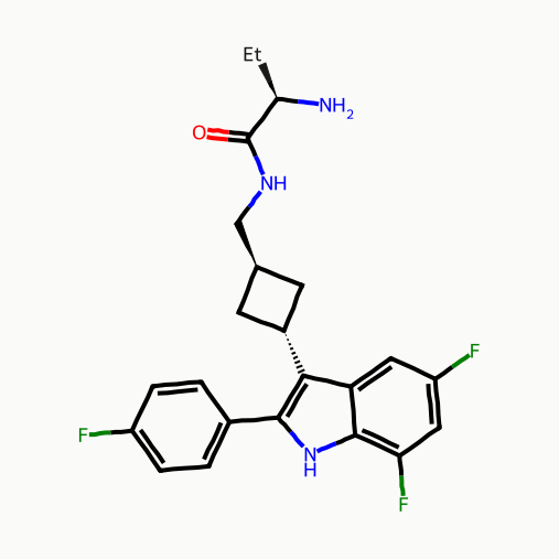 CC[C@@H](N)C(=O)NC[C@H]1C[C@H](c2c(-c3ccc(F)cc3)[nH]c3c(F)cc(F)cc32)C1